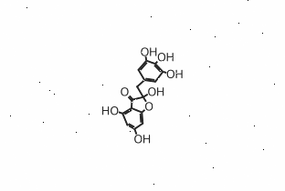 O=C1c2c(O)cc(O)cc2OC1(O)Cc1cc(O)c(O)c(O)c1